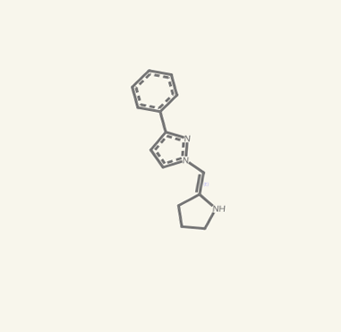 C(=C1/CCCN1)/n1ccc(-c2ccccc2)n1